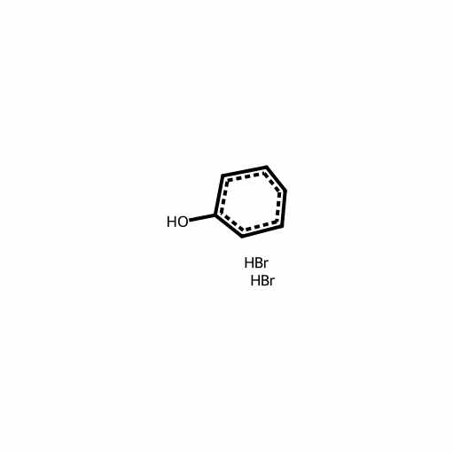 Br.Br.Oc1ccccc1